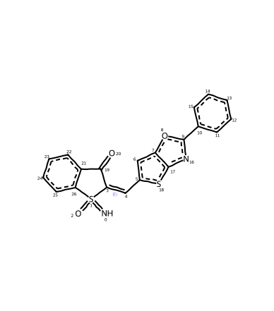 N=S1(=O)/C(=C/c2cc3oc(-c4ccccc4)nc3s2)C(=O)c2ccccc21